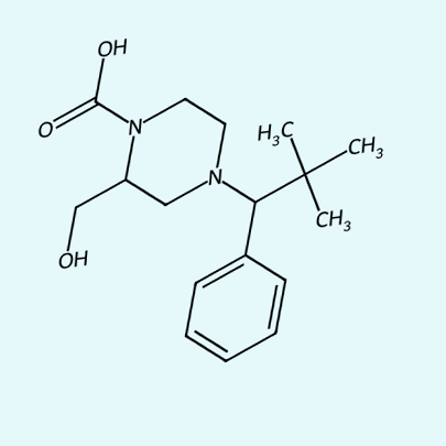 CC(C)(C)C(c1ccccc1)N1CCN(C(=O)O)C(CO)C1